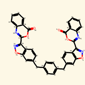 O=c1oc(-c2noc3cc(Cc4ccc(Cc5ccc6c(-c7nc8ccccc8c(=O)o7)noc6c5)cc4)ccc23)nc2ccccc12